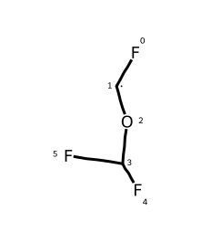 F[CH]OC(F)F